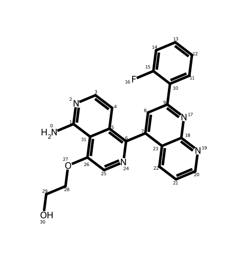 Nc1nccc2c(-c3cc(-c4ccccc4F)nc4ncccc34)ncc(OCCO)c12